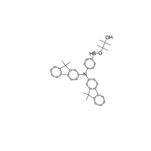 CC1(C)c2ccccc2-c2ccc(N(c3ccc(BOC(C)(C)C(C)(C)O)cc3)c3ccc4c(c3)C(C)(C)c3ccccc3-4)cc21